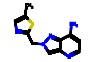 Cc1cnc(Cn2cc3nccc(N)c3n2)s1